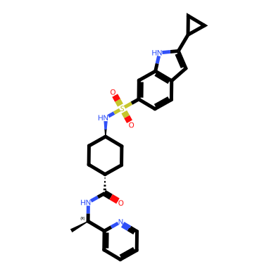 C[C@@H](NC(=O)[C@H]1CC[C@H](NS(=O)(=O)c2ccc3cc(C4CC4)[nH]c3c2)CC1)c1ccccn1